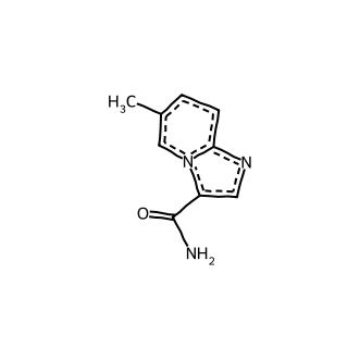 Cc1ccc2ncc(C(N)=O)n2c1